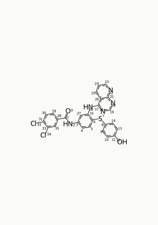 O=C(Nc1ccc(Sc2ccc(O)cc2)c(Nc2ncnc3ncccc23)c1)c1ccc(Cl)c(Cl)c1